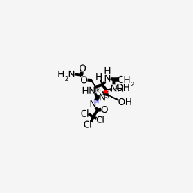 C=C1N[C@H]2[C@H](COC(N)=O)N/C(=N/C(=O)C(Cl)(Cl)Cl)N3C[C@H](O)[C@H](O)[C@]23N1